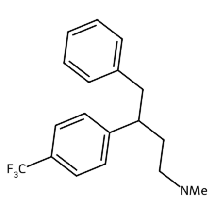 CNCCC(Cc1ccccc1)c1ccc(C(F)(F)F)cc1